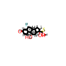 COC(=S)[C@@]1(O)[C@H](C)C[C@H]2[C@@H]3C[C@H](F)C4=CC(=O)C=C[C@]4(C)[C@H]3[C@@H](O)C[C@@]21C